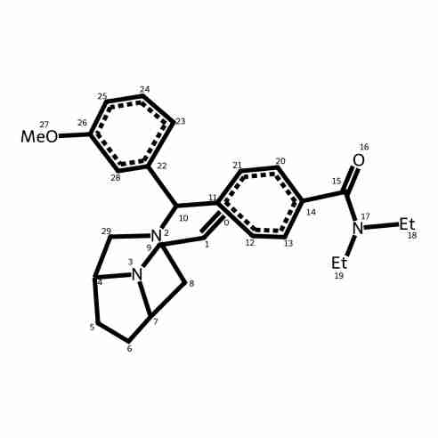 C=CCN1C2CCC1CN(C(c1ccc(C(=O)N(CC)CC)cc1)c1cccc(OC)c1)C2